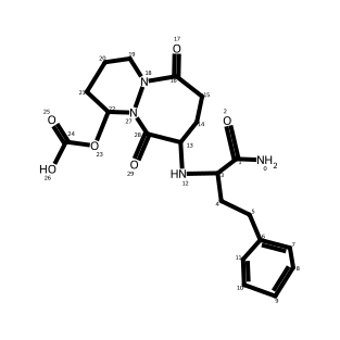 NC(=O)C(CCc1ccccc1)NC1CCC(=O)N2CCCC(OC(=O)O)N2C1=O